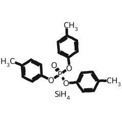 Cc1ccc(OP(=O)(Oc2ccc(C)cc2)Oc2ccc(C)cc2)cc1.[SiH4]